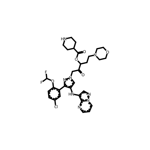 O=C(OC(CCN1CCOCC1)C(=O)Cn1cc(Nc2cnn3cccnc23)c(-c2cc(Cl)ccc2OC(F)F)n1)C1CCNCC1